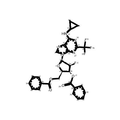 O=C(OC[C@H]1O[C@@H](n2cnc3c(NC4CC4)nc(C(F)(F)F)nc32)[C@@H](F)[C@@H]1OC(=O)c1ccccc1)c1ccccc1